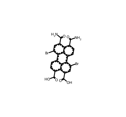 NC(=O)c1ccc2c3c(Br)cc(C(=O)O)c4c(C(=O)O)ccc(c5c(Br)cc(C(N)=O)c1c25)c43